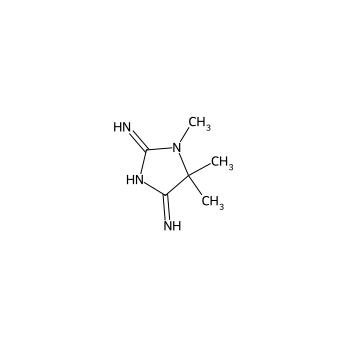 CN1C(=N)NC(=N)C1(C)C